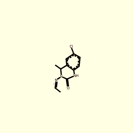 C/C=N\N1C(=O)Nc2ccc(Cl)cc2C1C